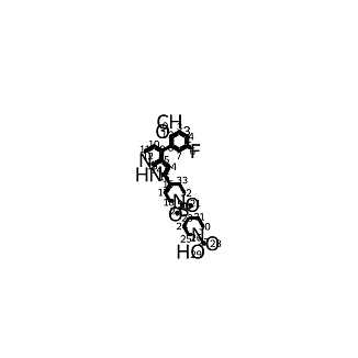 COc1ccc(F)cc1-c1ccnc2[nH]c(C3=CCN(S(=O)(=O)C4CCN(C(=O)O)CC4)CC3)cc12